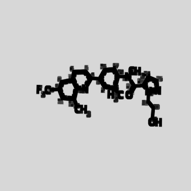 Cc1cc(-c2ccc3cc(C(F)(F)F)cc(C)c3n2)ccc1N(C)C(=O)c1ccnn1CCO